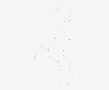 c1ccc2c(c1)cn1c3cc4sc5ccccc5c4cc3c3ccccc3c21